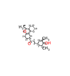 Cc1cc(/C=C/C(=O)c2ccc(OC(C)C3CCCCC3)cc2)cc(C)c1O